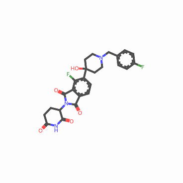 O=C1CCC(N2C(=O)c3ccc(C4(O)CCN(Cc5ccc(F)cc5)CC4)c(F)c3C2=O)C(=O)N1